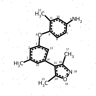 Cc1cc(Oc2ccc(N)cc2C)cc(-c2c(C)noc2C)c1